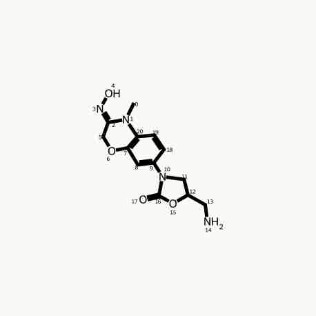 CN1C(=NO)COc2cc(N3CC(CN)OC3=O)ccc21